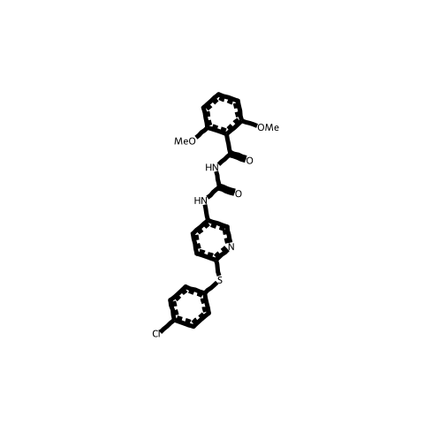 COc1cccc(OC)c1C(=O)NC(=O)Nc1ccc(Sc2ccc(Cl)cc2)nc1